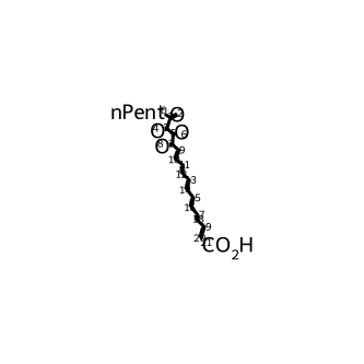 CCCCCC(=O)C(=O)C(=O)C(=O)C=CC=CC=CC=CC=CC=CC(=O)O